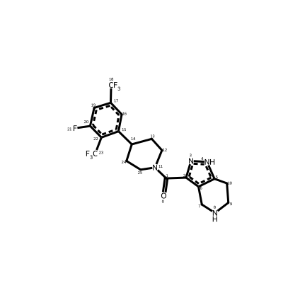 O=C(c1n[nH]c2c1CNCC2)N1CCC(c2cc(C(F)(F)F)cc(F)c2C(F)(F)F)CC1